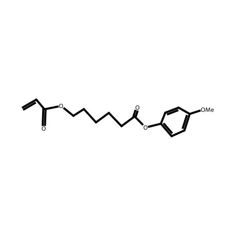 C=CC(=O)OCCCCCC(=O)Oc1ccc(OC)cc1